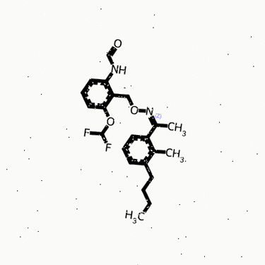 CCCCc1cccc(/C(C)=N\OCc2c(NC=O)cccc2OC(F)F)c1C